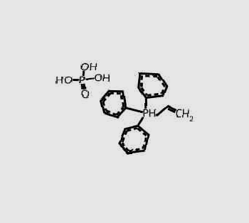 C=CC[PH](c1ccccc1)(c1ccccc1)c1ccccc1.O=P(O)(O)O